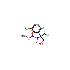 CC(C)(C)OC(=O)N1SOCC1(c1cc(Br)ccc1F)C(F)F